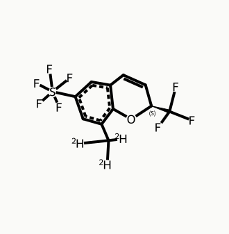 [2H]C([2H])([2H])c1cc(S(F)(F)(F)(F)F)cc2c1O[C@H](C(F)(F)F)C=C2